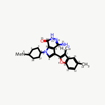 CNC1CCC(n2cc(-c3oc4ccc(C)cc4c3C)c3c(N)n[nH]c(=O)c32)CC1